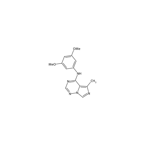 COc1cc(Nc2ncnn3cnc(C)c23)cc(OC)c1